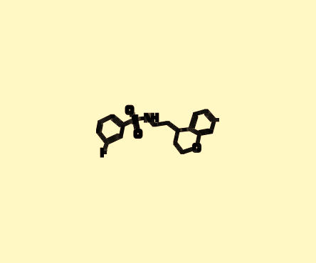 O=S(=O)(NCCC1CCOc2c[c]ccc21)c1cccc(F)c1